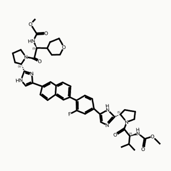 COC(=O)N[C@H](C(=O)N1CCC[C@H]1c1ncc(-c2ccc(-c3ccc4cc(-c5c[nH]c([C@@H]6CCCN6C(=O)[C@@H](NC(=O)OC)C6CCOCC6)n5)ccc4c3)c(F)c2)[nH]1)C(C)C